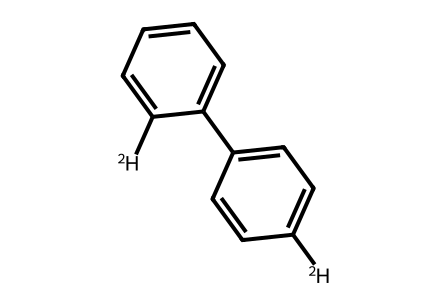 [2H]c1ccc(-c2ccccc2[2H])cc1